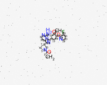 C=CC(=O)N1CCCC(c2nc(C3=C=C=C(Oc4ncccc4F)C(OC)=C3)n3c(N)nccc23)C1